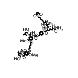 C=C1C[C@@H](CO)N(C(=O)c2cc(OC)c(OCCCCCOc3cc(NC(=O)OCc4ccc(NC(=O)C(CCCNC(N)=O)NC(=O)C(NC(=O)CCCCCN5C(=O)C=CC5=O)C(C)C)cc4)c(C(=O)N4CC(=C)C[C@H]4CO)cc3OC)cc2NC(=O)O)C1